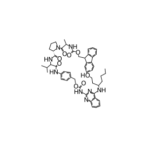 CCCCC(CCO)Nc1nc(NC(=O)OCc2ccc(NC(=O)C(NC(=O)[C@@H]3CCCN3C(=O)C(C)NC(=O)OCC3c4ccccc4-c4ccccc43)C(C)C)cc2)nc2ccccc12